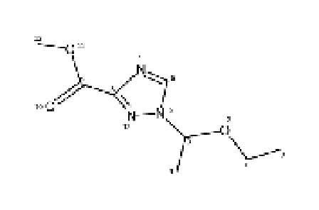 CCOC(C)n1cnc(C(=O)OC)n1